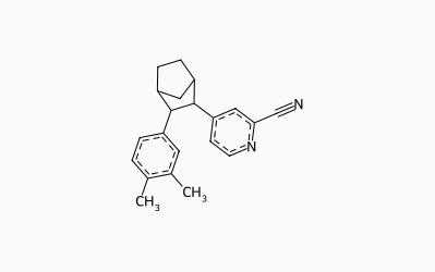 Cc1ccc(C2C3CCC(C3)C2c2ccnc(C#N)c2)cc1C